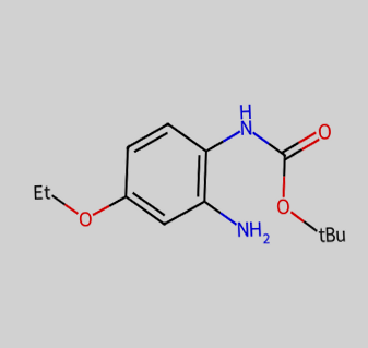 CCOc1ccc(NC(=O)OC(C)(C)C)c(N)c1